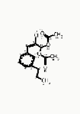 CCCc1cccc(C=C(C)C(OC(C)=O)OC(C)=O)c1